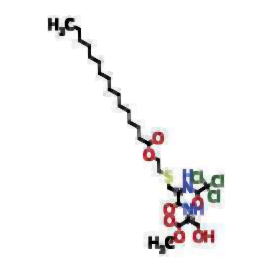 CCCCCCCCCCCCCCCC(=O)OCCSC[C@@H](NC(=O)C(Cl)(Cl)Cl)C(=O)N[C@@H](CO)C(=O)OC